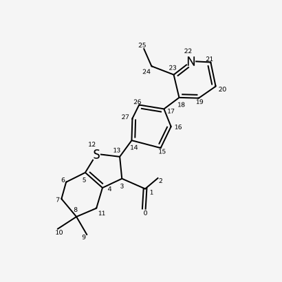 C=C(C)C1C2=C(CCC(C)(C)C2)SC1c1ccc(-c2cccnc2CC)cc1